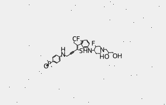 CP(C)(=O)c1ccc(NCC#Cc2sc3c(NC4CCN(CC(O)CO)CC4F)cccc3c2CC(F)(F)F)cc1